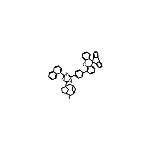 c1ccc2c(c1)Oc1c(-c3ccc(-c4nc(-c5cccc6ccccc56)nc(C56CC[C@@H](CC7CC(C7)C5)C6)n4)cc3)cccc1C21c2ccccc2-c2ccccc21